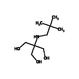 CC(C)(C)CNC(CO)(CO)CO